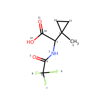 CC1(C(NC(=O)C(F)(F)F)C(=O)O)CC1